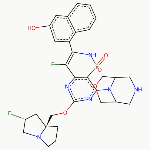 O=S1(=O)NC(c2cc(O)cc3ccccc23)=C(F)c2nc(OC[C@@]34CCCN3C[C@H](F)C4)nc(N3C4CNCC3COC4)c21